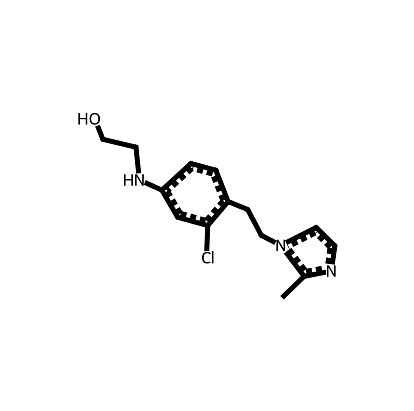 Cc1nccn1CCc1ccc(NCCO)cc1Cl